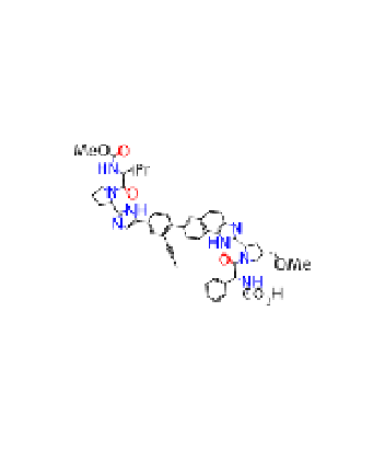 CC#Cc1cc(-c2cnc(C3CCCN3C(=O)[C@@H](NC(=O)OC)C(C)C)[nH]2)ccc1-c1ccc2c(ccc3nc([C@@H]4C[C@H](COC)CN4C(=O)[C@H](NC(=O)O)c4ccccc4)[nH]c32)c1